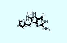 Cl.Nc1nc2c(c(=O)[nH]1)NC(N)N2Cc1ccco1